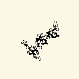 CC1CCC(C2(C(F)(F)F)CC2)N(C(=O)C(=O)Nc2cnc(N)c3cnn(COCC[Si](C)(C)C)c23)C1.CC1CCC(C2(C(F)(F)F)CC2)N(C(=O)C(N)=O)C1